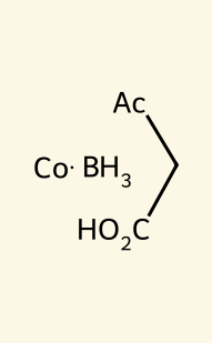 B.CC(=O)CC(=O)O.[Co]